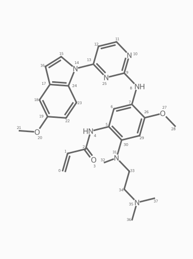 C=CC(=O)Nc1cc(Nc2nccc(-n3ccc4cc(OC)ccc43)n2)c(OC)cc1N(C)CCN(C)C